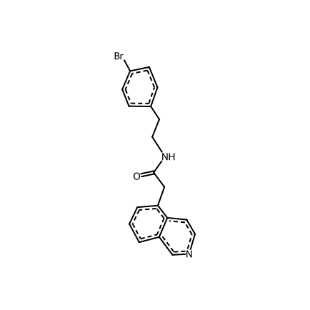 O=C(Cc1cccc2cnccc12)NCCc1ccc(Br)cc1